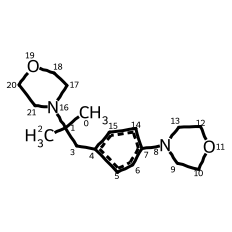 CC(C)(Cc1ccc(N2CCOCC2)cc1)N1CCOCC1